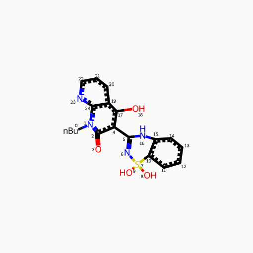 CCCCn1c(=O)c(C2=NS(O)(O)c3ccccc3N2)c(O)c2cccnc21